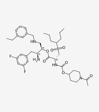 CCCC(CCC)S(=O)(=O)C[C@H](NC(=O)OC1CCN(C(C)=O)CC1)C(=O)O[C@H](CNCc1cccc(CC)c1)[C@@H](N)Cc1cc(F)cc(F)c1